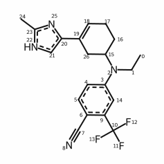 CCN(c1ccc(C#N)c(C(F)(F)F)c1)C1CCC=C(c2c[nH]c(C)n2)C1